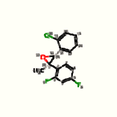 [CH2][C@]1(c2ccc(F)cc2F)O[C@@H]1c1ccccc1Cl